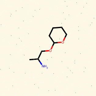 CC(N)COC1CCCCO1